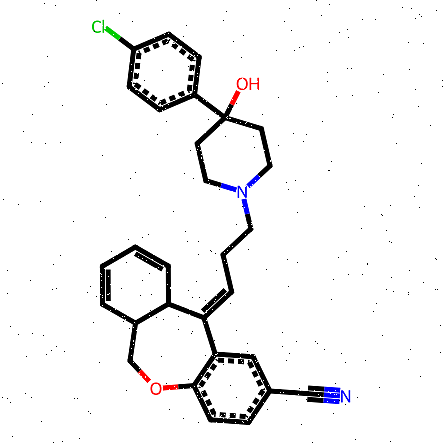 N#Cc1ccc2c(c1)/C(=C/CCN1CCC(O)(c3ccc(Cl)cc3)CC1)C1C=CC=CC1CO2